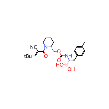 Cc1ccc(C[C@H](NC(=O)OC[C@H]2CCCCN2C(=O)/C(C#N)=C/C(C)(C)C)B(O)O)cc1